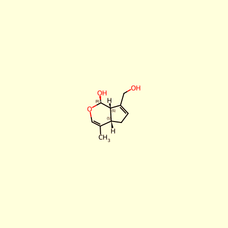 CC1=CO[C@@H](O)[C@@H]2C(CO)=CC[C@H]12